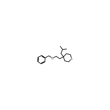 C[C](C)CC1(CCOCc2ccccc2)CCSCC1